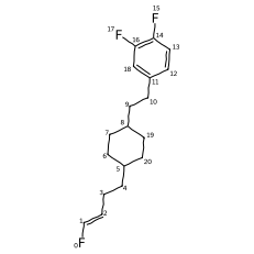 FC=CCCC1CCC(CCc2ccc(F)c(F)c2)CC1